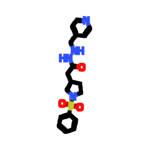 O=C(CC1CCN(S(=O)(=O)c2ccccc2)C1)NNCc1ccncc1